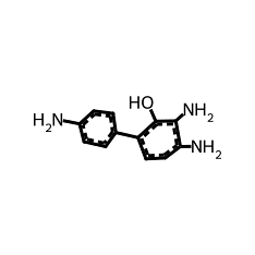 Nc1ccc(-c2ccc(N)c(N)c2O)cc1